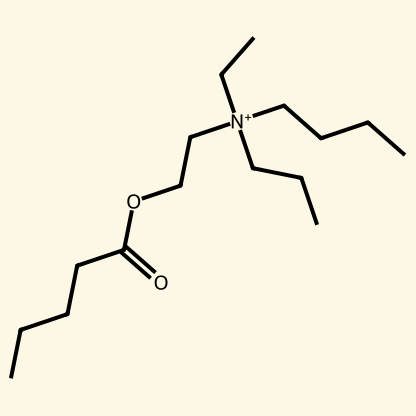 CCCCC(=O)OCC[N+](CC)(CCC)CCCC